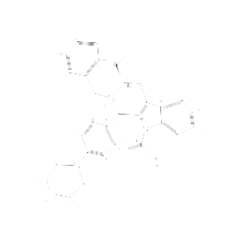 O=C(O)[C@H]1Cc2c(n(C(=O)O)c3ccccc23)C(c2ccc(N3CCOCC3)cc2)N1Cc1ccccc1